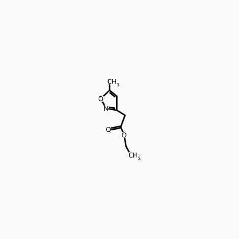 CCOC(=O)Cc1cc(C)on1